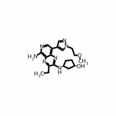 CCc1nc2c(N)ncc(-c3cnn(CCOC)c3)c2nc1N[C@@H]1CC[C@H](O)C1